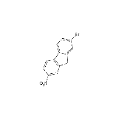 O=[N+]([O-])c1ccc2c(c1)Cc1cc(Br)ccc1-2